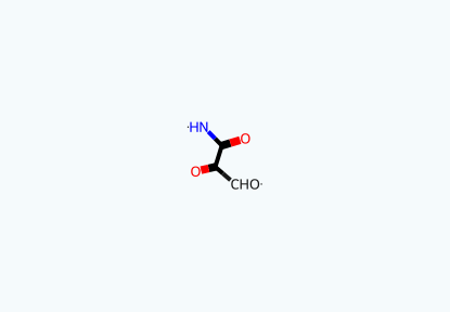 [NH]C(=O)C(=O)[C]=O